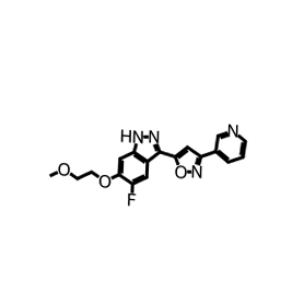 COCCOc1cc2[nH]nc(-c3cc(-c4cccnc4)no3)c2cc1F